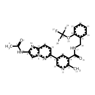 CC(=O)Nc1cn2nc(-c3cnc(C)c(C(=O)NCc4ccccc4OC(F)(F)F)c3)ccc2n1